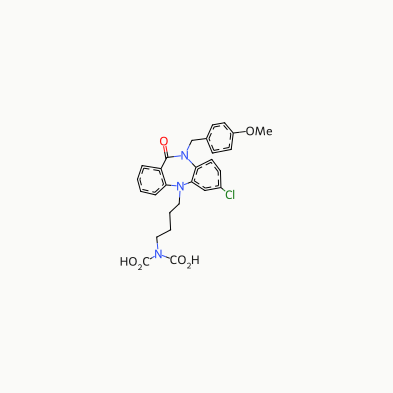 COc1ccc(CN2C(=O)c3ccccc3N(CCCCN(C(=O)O)C(=O)O)c3cc(Cl)ccc32)cc1